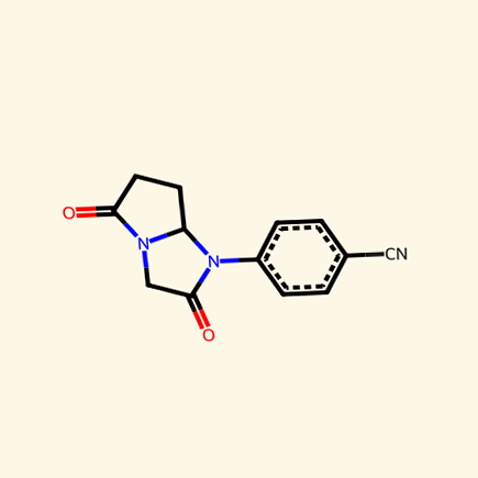 N#Cc1ccc(N2C(=O)CN3C(=O)CCC32)cc1